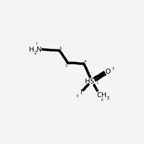 C[SH](=O)(I)CCCN